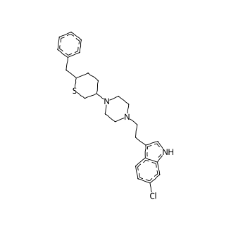 Clc1ccc2c(CCN3CCN(C4CCC(Cc5ccccc5)SC4)CC3)c[nH]c2c1